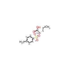 CCC[C@H](OS(=O)(=O)c1ccc(C)cc1)C(=O)O